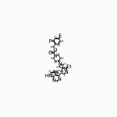 CCN(/N=C\Cc1ncnc2[nH]ccc12)C1(CC#N)CN(C2CCN(C(=O)OCc3ccc(F)cc3F)CC2)C1